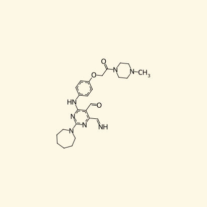 CN1CCN(C(=O)COc2ccc(Nc3nc(N4CCCCCC4)nc(C=N)c3C=O)cc2)CC1